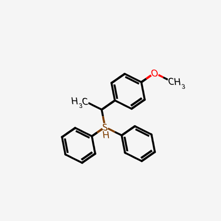 COc1ccc(C(C)[SH](c2ccccc2)c2ccccc2)cc1